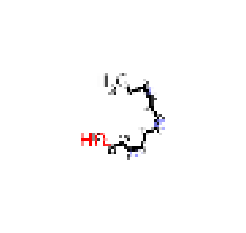 CC/C=C\C/C=C\C/C=C\CCO